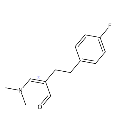 CN(C)/C=C(\C=O)CCc1ccc(F)cc1